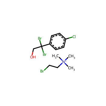 C[N+](C)(C)CCBr.OCC(Br)(Br)c1ccc(Cl)cc1